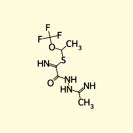 CC(=N)NNC(=O)C(=N)SC(C)OC(F)(F)F